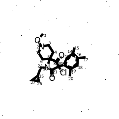 CON1CCC2(CC1)C(=O)C(Cl)(c1cc(C)c(C)cc1C)C(=O)N2CC1CC1